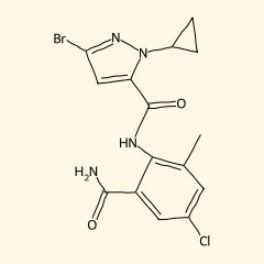 Cc1cc(Cl)cc(C(N)=O)c1NC(=O)c1cc(Br)nn1C1CC1